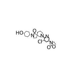 O=C1OCCN1c1cnc(N2CCC[C@]3(CCN([C@H]4CC[C@@H](O)CC4)C3=O)C2)c(Cl)c1